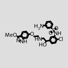 COc1n[nH]c2cc(OCCNCC(O)c3ccc(Cl)c(NS(=O)(=O)c4cccc(N)c4)c3)ccc12